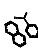 CC(O)c1ccccc1.c1ccc2ncccc2c1